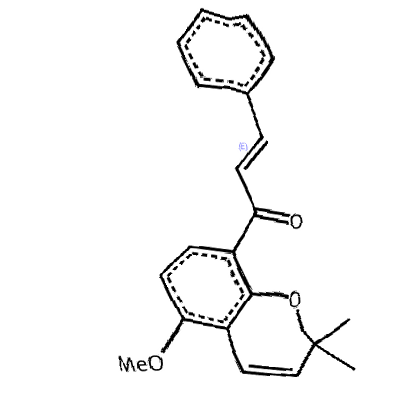 COc1ccc(C(=O)/C=C/c2ccccc2)c2c1C=CC(C)(C)O2